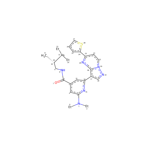 CCN(CC)c1cc(C(=O)NC[C@H](C)[As](CC)CC)cc(-c2cnn3ccc(-c4cccs4)nc23)n1